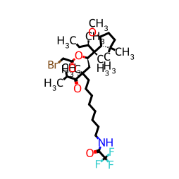 CC[C@@H](C)[C@](C)([C@@H]1[C@H](OC)CCC1(C)C)[C@@H](C[C@](C)(CCCCCCCCNC(=O)C(F)(F)F)C(=O)C(C)C)OC(=O)CBr